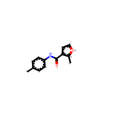 Cc1ccc(NC(=O)c2ccoc2C)cc1